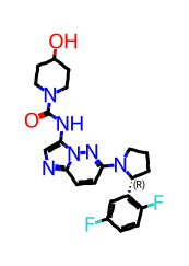 O=C(Nc1cnc2ccc(N3CCC[C@@H]3c3cc(F)ccc3F)nn12)N1CCC(O)CC1